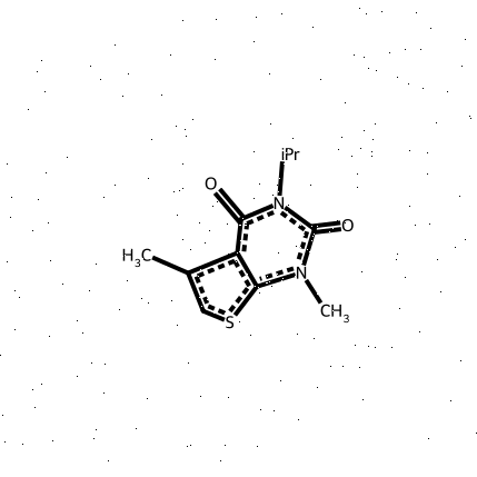 Cc1csc2c1c(=O)n(C(C)C)c(=O)n2C